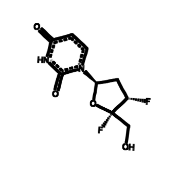 O=c1ccn([C@H]2C[C@H](F)[C@@](F)(CO)O2)c(=O)[nH]1